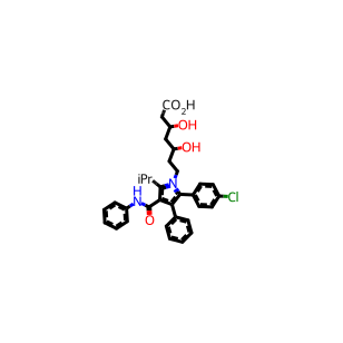 CC(C)c1c(C(=O)Nc2ccccc2)c(-c2ccccc2)c(-c2ccc(Cl)cc2)n1CCC(O)CC(O)CC(=O)O